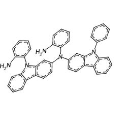 Nc1ccccc1N(c1ccc2c3ccccc3n(-c3ccccc3)c2c1)c1ccc2c3ccccc3n(-c3ccccc3N)c2c1